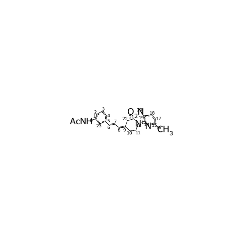 CC(=O)Nc1cccc(/C=C/C=C2CCN(c3nc(C)ccc3[N+](=O)[O-])CC2)c1